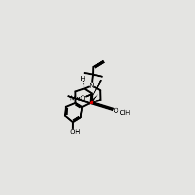 C=CC(C)(C)N1CC[C@]23CC(=O)C[C@@H](C)C2(OC)[C@H]1Cc1ccc(O)cc13.Cl